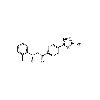 Cc1ccccc1[S+]([O-])CC(=O)c1ccc(-c2noc(C(F)(F)F)n2)cc1